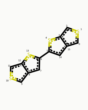 c1scc2sc(-c3cc4cscc4s3)cc12